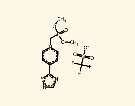 COP(=O)(C[n+]1ccc(-c2ncns2)cc1)OC.O=S(=O)([O-])C(F)(F)F